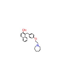 Oc1ccc2ccccc2c1Cc1ccc(OCCN2CCCCCC2)cc1